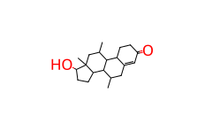 CC1CC2(C)C(O)CCC2C2C(C)CC3=CC(=O)CCC3C12